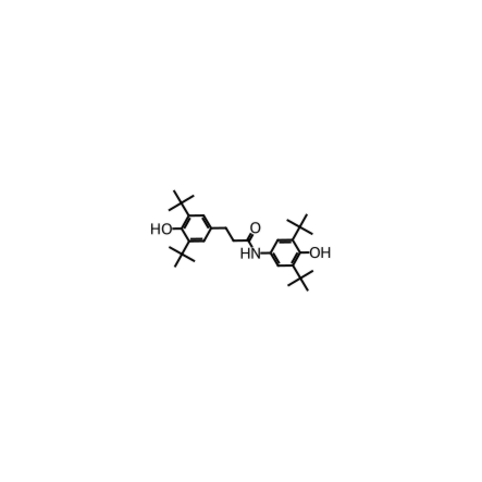 CC(C)(C)c1cc(CCC(=O)Nc2cc(C(C)(C)C)c(O)c(C(C)(C)C)c2)cc(C(C)(C)C)c1O